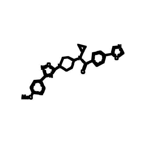 COc1ccc(-c2noc(N3CCC(N(C(=O)c4ccc(-c5cnco5)cc4)C4CC4)CC3)n2)cc1